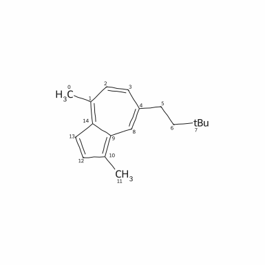 Cc1ccc(CCC(C)(C)C)cc2c(C)ccc1-2